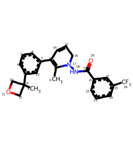 CC1=C(c2cccc(C3(C)COC3)c2)C=CCN1NC(=O)c1cccc(C(F)(F)F)c1